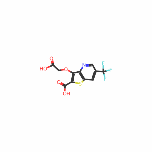 O=C(O)COc1c(C(=O)O)sc2cc(C(F)(F)F)cnc12